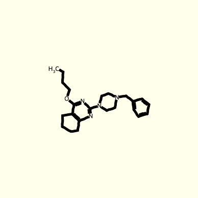 CCCCOc1nc(N2CCN(Cc3ccccc3)CC2)nc2c1CCCC2